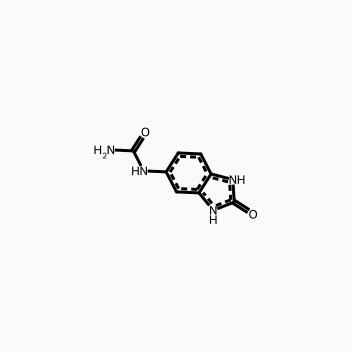 NC(=O)Nc1ccc2[nH]c(=O)[nH]c2c1